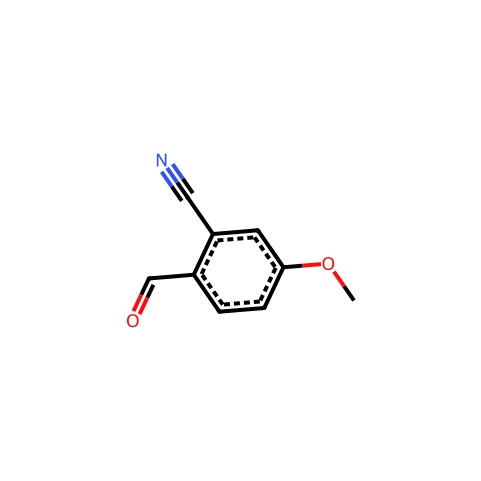 COc1ccc(C=O)c(C#N)c1